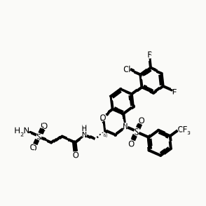 NS(=O)(=O)CCC(=O)NC[C@H]1CN(S(=O)(=O)c2cccc(C(F)(F)F)c2)c2cc(-c3cc(F)cc(F)c3Cl)ccc2O1